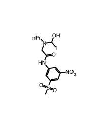 CCCN(CC(=O)Nc1cc([N+](=O)[O-])cc(S(C)(=O)=O)c1)C(O)I